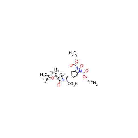 C=CCOC(=O)n1c(=O)n(C(=O)OCC=C)c2cc(C3=C(C(=O)O)N4C(=O)[C@H]([C@@H](C)O[Si](C)(C)C)[C@H]4C3)ccc21